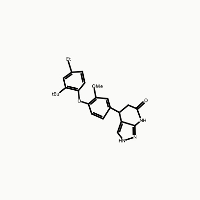 CCc1ccc(Oc2ccc(C3CC(=O)Nc4n[nH]cc43)cc2OC)c(C(C)(C)C)c1